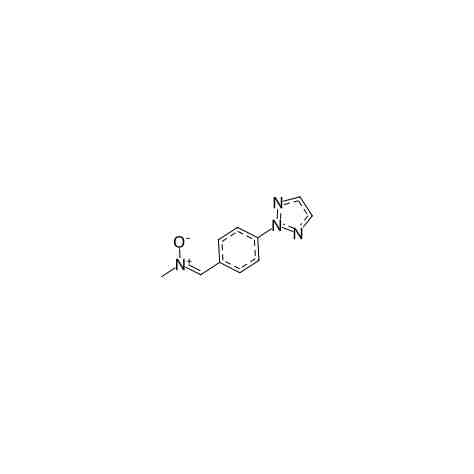 C[N+]([O-])=Cc1ccc(-n2nccn2)cc1